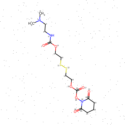 CN(C)CCNC(=O)OCCSSCCOC(=O)ON1C(=O)CCCC1=O